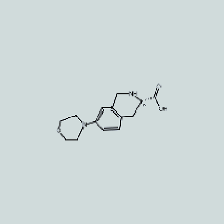 O=C(O)[C@@H]1Cc2ccc(N3CCOCC3)cc2CN1